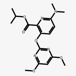 COc1cc(OC)nc(Oc2ccc(N(C)C)nc2C(=O)OC(C)C)n1